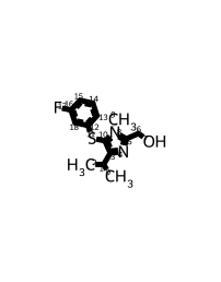 CC(C)c1nc(CO)n(C)c1Sc1cccc(F)c1